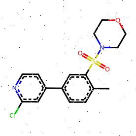 Cc1ccc(-c2ccnc(Cl)c2)cc1S(=O)(=O)N1CCOCC1